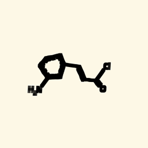 Nc1cccc(C=CC(=O)Cl)c1